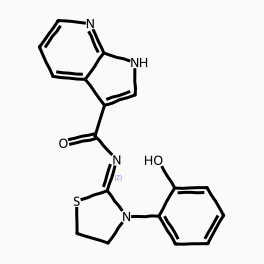 O=C(/N=C1\SCCN1c1ccccc1O)c1c[nH]c2ncccc12